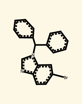 Brc1ccc2ncn(C(c3ccccc3)c3ccccc3)c2c1